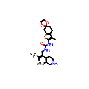 CCCCC1=C(/C(CNC(=O)Nc2sc3c(c2C)CCC2(C3)OCCO2)=C(\C)C(F)(F)F)CCNC1